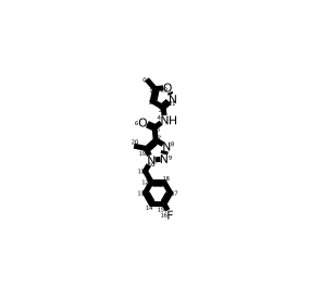 Cc1cc(NC(=O)c2nnn(Cc3ccc(F)cc3)c2C)no1